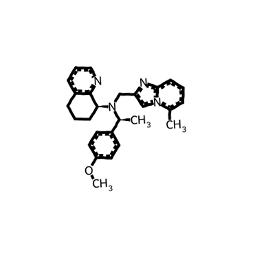 COc1ccc([C@H](C)N(Cc2cn3c(C)cccc3n2)[C@H]2CCCc3cccnc32)cc1